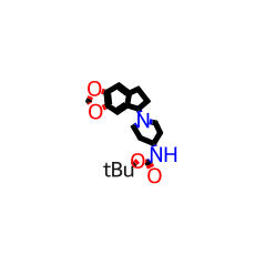 CC(C)(C)OC(=O)NC1CCN(C2CCc3cc4c(cc32)OCO4)CC1